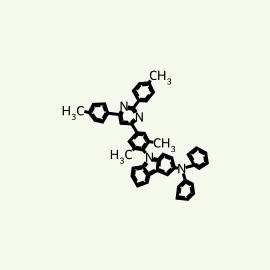 Cc1ccc(-c2cc(-c3cc(C)c(-n4c5ccccc5c5cc(N(c6ccccc6)c6ccccc6)ccc54)c(C)c3)nc(-c3ccc(C)cc3)n2)cc1